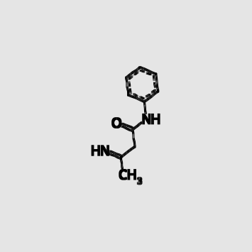 CC(=N)CC(=O)Nc1ccccc1